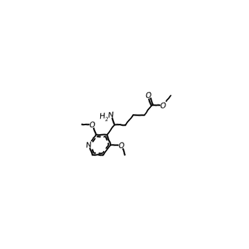 COC(=O)CCCC(N)c1c(OC)ccnc1OC